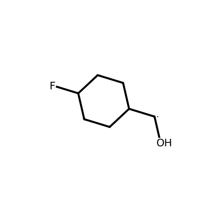 O[CH]C1CCC(F)CC1